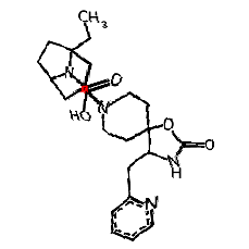 CCC12CCC(CC(N3CCC4(CC3)OC(=O)NC4Cc3ccccn3)C1)N2C(=O)O